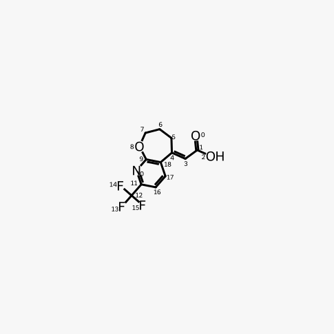 O=C(O)/C=C1\CCCOc2nc(C(F)(F)F)ccc21